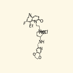 CCc1c(F)cnc2ccc(=O)n(CCN3CCC(NCc4cc5c(cn4)OCCO5)CC3)c12.Cl.Cl